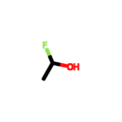 C[C](O)F